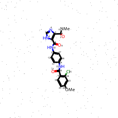 CNC(=O)c1nc[nH]c1C(=O)Nc1ccc(NC(=O)c2ccc(OC)cc2Cl)cc1